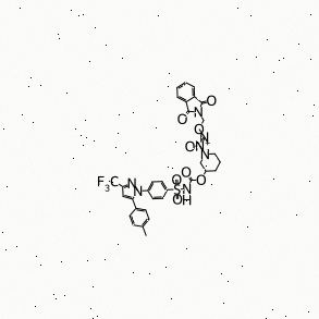 Cc1ccc(-c2cc(C(F)(F)F)nn2-c2ccc(S(=O)(=O)NC(=O)OC3CCCN([N+]([O-])=NOCN4C(=O)c5ccccc5C4=O)C3)cc2)cc1